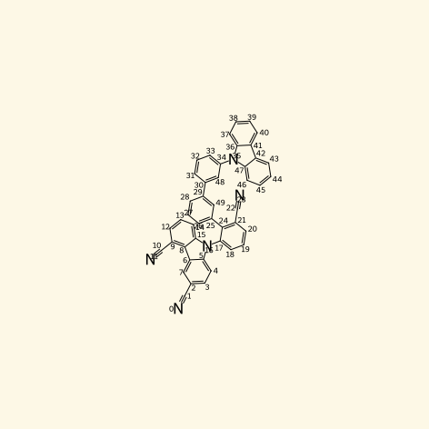 N#Cc1ccc2c(c1)c1c(C#N)cccc1n2-c1cccc(C#N)c1-c1cccc(-c2cccc(-n3c4ccccc4c4ccccc43)c2)c1